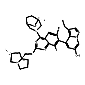 CCc1cnn2cc(O)cc(-c3c(F)cc4c(N5CC6CC[C@@](C)(C5)N6)nc(OC[C@@]56CCCN5C[C@H](F)C6)nc4c3F)c12